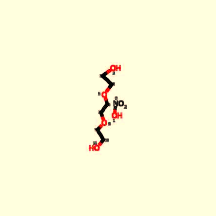 O=[N+]([O-])O.OCCOCCOCCO